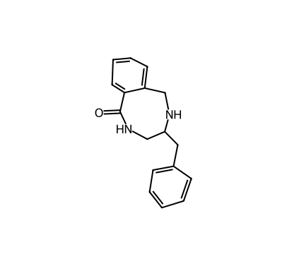 O=C1NCC(Cc2ccccc2)NCc2ccccc21